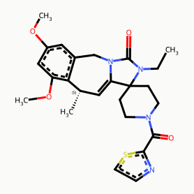 CCN1C(=O)N2Cc3cc(OC)cc(OC)c3[C@@H](C)C=C2C12CCN(C(=O)c1nccs1)CC2